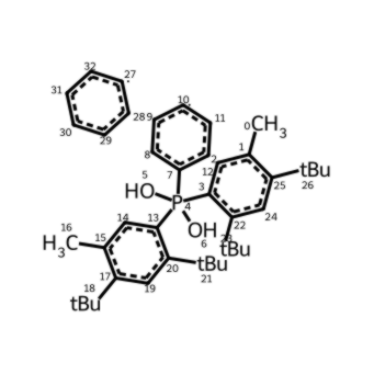 Cc1cc(P(O)(O)(c2cc[c]cc2)c2cc(C)c(C(C)(C)C)cc2C(C)(C)C)c(C(C)(C)C)cc1C(C)(C)C.[c]1ccccc1